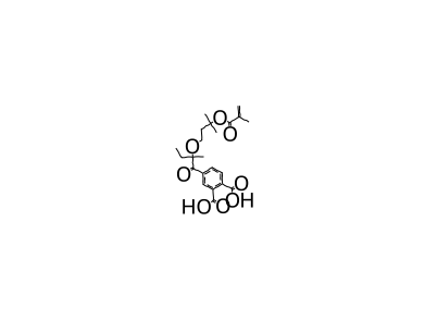 C=C(C)C(=O)OC(C)(C)CCOC(C)(CC)C(=O)c1ccc(C(=O)O)c(C(=O)O)c1